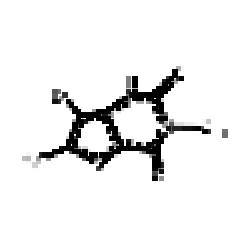 Cc1sc2c(=O)n(C)c(=O)[nH]c2c1Br